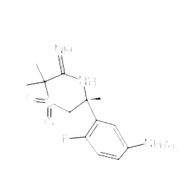 CC(=O)Nc1ccc(F)c([C@]2(C)CS(=O)(=O)C(C)(C)C(=N)N2)c1